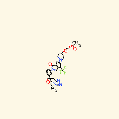 CC(=O)OCCOCC1CCN(c2cc3c(c(C(F)(F)F)c2)CN(c2cccc(C4(Cc5nncn5C)COC4)c2)C3=O)CC1